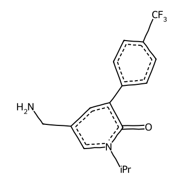 CC(C)n1cc(CN)cc(-c2ccc(C(F)(F)F)cc2)c1=O